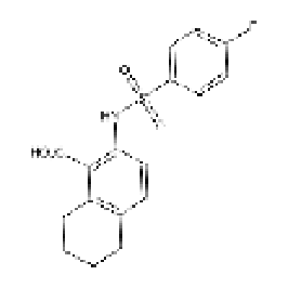 O=C(O)c1c(NS(=O)(=O)c2ccc(F)cc2)ccc2c1CCCC2